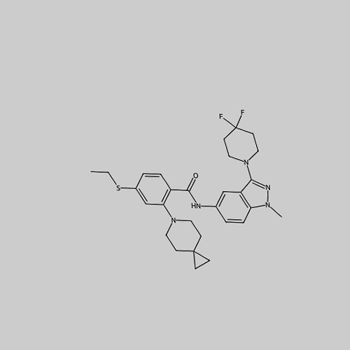 CCSc1ccc(C(=O)Nc2ccc3c(c2)c(N2CCC(F)(F)CC2)nn3C)c(N2CCC3(CC2)CC3)c1